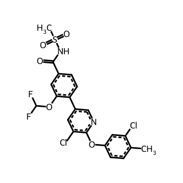 Cc1ccc(Oc2ncc(-c3ccc(C(=O)NS(C)(=O)=O)cc3OC(F)F)cc2Cl)cc1Cl